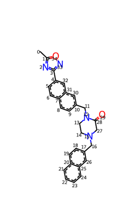 Cc1nc(-c2ccc3ccc(CN4CCN(Cc5ccc6ccccc6c5)CC4=O)cc3c2)no1